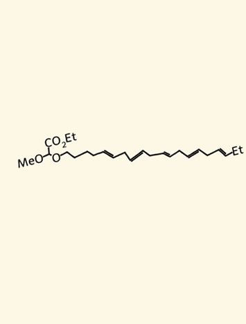 CCC=CCC=CCC=CCC=CCC=CCCCCOC(OC)C(=O)OCC